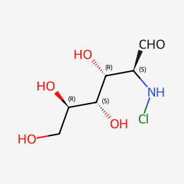 O=C[C@@H](NCl)[C@@H](O)[C@H](O)[C@H](O)CO